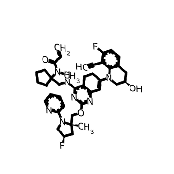 C#Cc1c(F)ccc2c1N(C1=Cc3nc(OC[C@]4(C)C[C@@H](F)CN4c4ccccn4)nc(NCC4(N(C)C(=O)C=C)CCCC4)c3CC1)C[C@H](O)C2